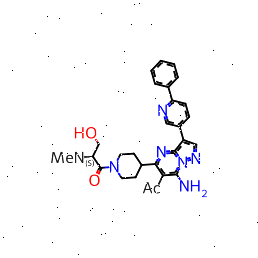 CN[C@@H](CO)C(=O)N1CCC(c2nc3c(-c4ccc(-c5ccccc5)nc4)cnn3c(N)c2C(C)=O)CC1